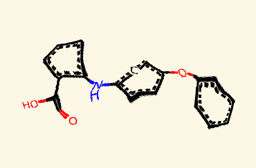 O=C(O)c1ccccc1Nc1ccc(Oc2ccccc2)cc1